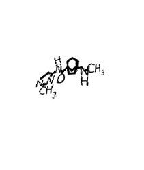 CNC12CCCC(C(=O)Nc3ccnc(C)n3)(CC1)C2